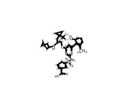 Cc1cccc(C)c1-c1cc(OCC(CC2(C(F)(F)F)CC2)NC2CC3(CC3)C2)nc(NS(=O)(=O)c2cccc(C(=O)O)c2)n1